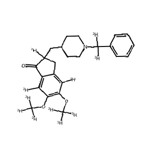 [2H]c1c2c(c([2H])c(OC([2H])([2H])[2H])c1OC([2H])([2H])[2H])C(=O)C([2H])(CC1CCN(C([2H])([2H])c3ccccc3)CC1)C2